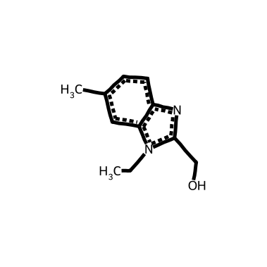 CCn1c(CO)nc2ccc(C)cc21